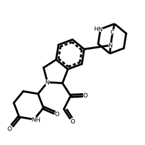 O=CC(=O)C1c2cc(N3CC4CCC3CN4)ccc2CN1C1CCC(=O)NC1=O